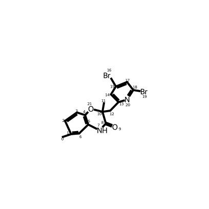 Cc1ccc2c(c1)NC(=O)C(C)(Cc1cc(Br)cc(Br)n1)O2